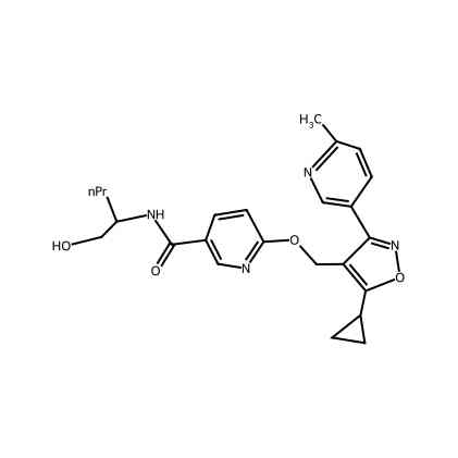 CCCC(CO)NC(=O)c1ccc(OCc2c(-c3ccc(C)nc3)noc2C2CC2)nc1